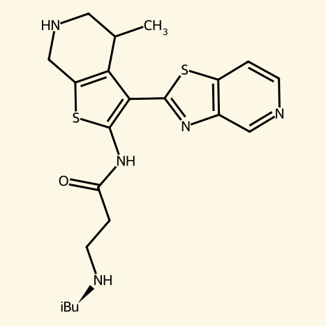 CC[C@H](C)NCCC(=O)Nc1sc2c(c1-c1nc3cnccc3s1)C(C)CNC2